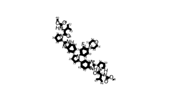 COC(=O)N[C@H](C(=O)N1CCC[C@H]1c1nc2cc([C@H]3CC[C@H](c4ccc5[nH]c([C@@H]6CCCN6C(=O)[C@@H](NC(=O)OC)C(C)C)nc5c4)N3c3ccc(N4CCOCC4)c(F)c3)ccc2[nH]1)C(C)C